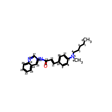 CCCCCN(C)c1ccc(C=CC(=O)Nc2cnc3ccccc3c2)cc1